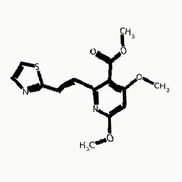 COC(=O)c1c(OC)cc(OC)nc1C=Cc1nccs1